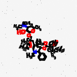 COC(C)(CO[C@@H]1O[C@H](C)C[C@H](N(C)C)[C@H]1O)C[C@@H](C)CN(C)[C@@H](COC(=O)C(C)(C)C(=O)C(C)C)c1ccccc1